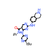 CC(C)n1c(=O)c2cnc(Nc3ccc4c(c3)CCNC4)nc2n1-c1cnc(C(C)(C)C)cn1